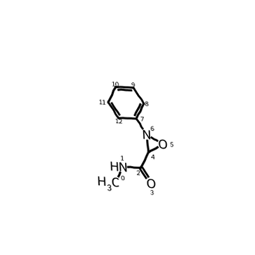 CNC(=O)C1ON1c1ccccc1